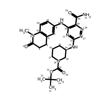 CN1C(=O)CCc2cc(Nc3nc(N[C@@H]4CCCN(C(=O)OC(C)(C)C)C4)nnc3C(N)=O)ccc21